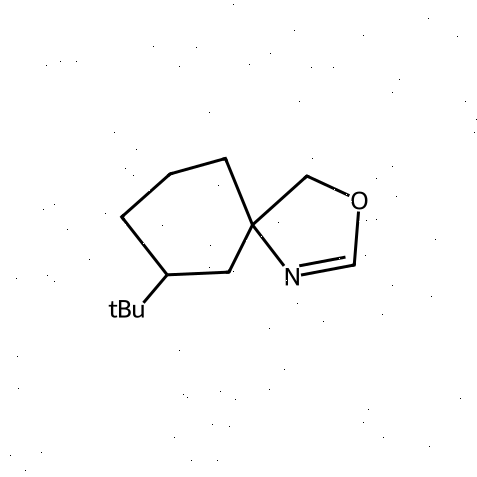 CC(C)(C)C1CCCC2(COC=N2)C1